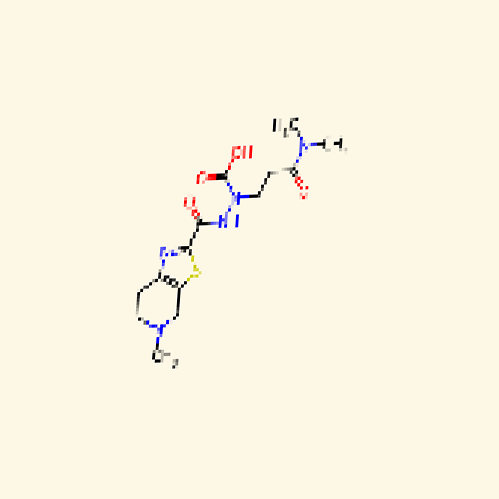 CN1CCc2nc(C(=O)NN(CCC(=O)N(C)C)C(=O)O)sc2C1